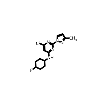 Cc1ccn(-c2nc(Cl)cc(NC3CCC(F)CC3)n2)n1